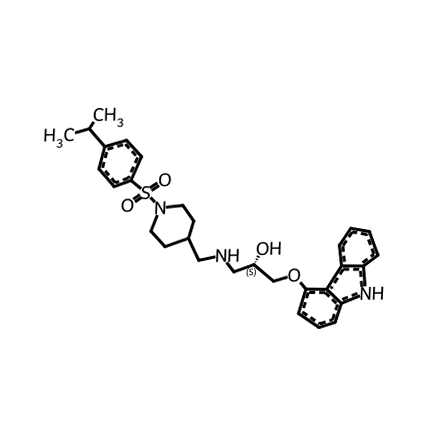 CC(C)c1ccc(S(=O)(=O)N2CCC(CNC[C@H](O)COc3cccc4[nH]c5ccccc5c34)CC2)cc1